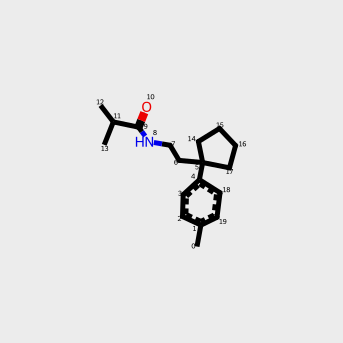 Cc1ccc(C2(CCNC(=O)C(C)C)CCCC2)cc1